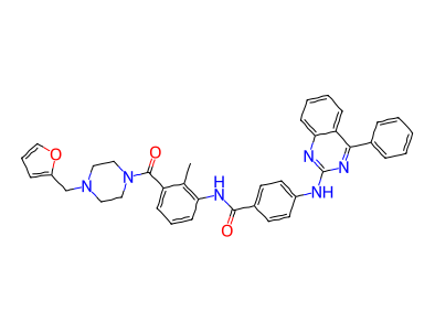 Cc1c(NC(=O)c2ccc(Nc3nc(-c4ccccc4)c4ccccc4n3)cc2)cccc1C(=O)N1CCN(Cc2ccco2)CC1